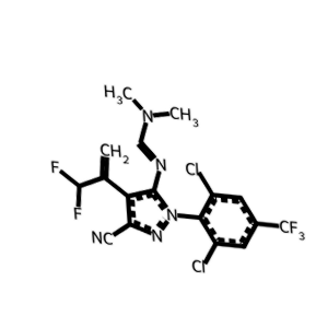 C=C(c1c(C#N)nn(-c2c(Cl)cc(C(F)(F)F)cc2Cl)c1N=CN(C)C)C(F)F